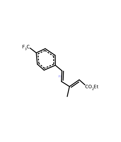 CCOC(=O)C=C(C)/C=C/c1ccc(C(F)(F)F)cc1